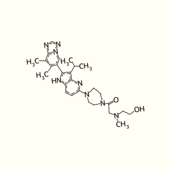 Cc1c(-c2[nH]c3ccc(N4CCN(C(=O)CN(C)CCO)CC4)nc3c2C(C)C)cn2ncnc2c1C